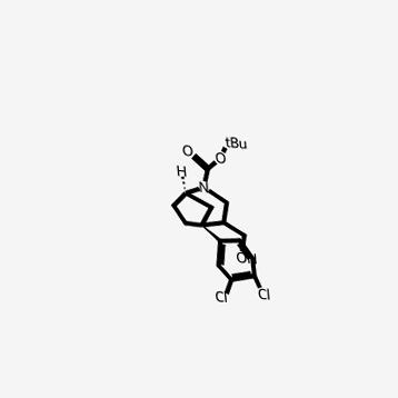 CC(C)(C)OC(=O)N1CC(CO)[C@]2(c3ccc(Cl)c(Cl)c3)CC[C@@H]1C2